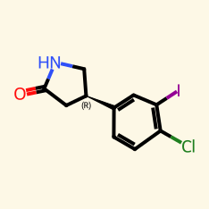 O=C1C[C@H](c2ccc(Cl)c(I)c2)CN1